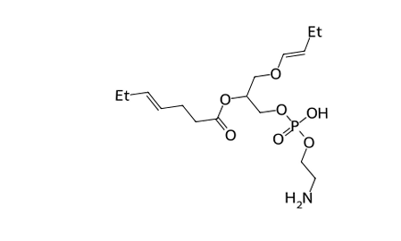 CCC=CCCC(=O)OC(COC=CCC)COP(=O)(O)OCCN